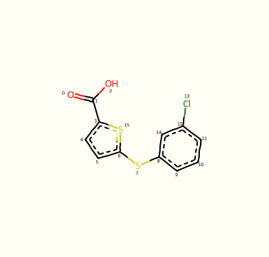 O=C(O)c1ccc(Sc2cccc(Cl)c2)s1